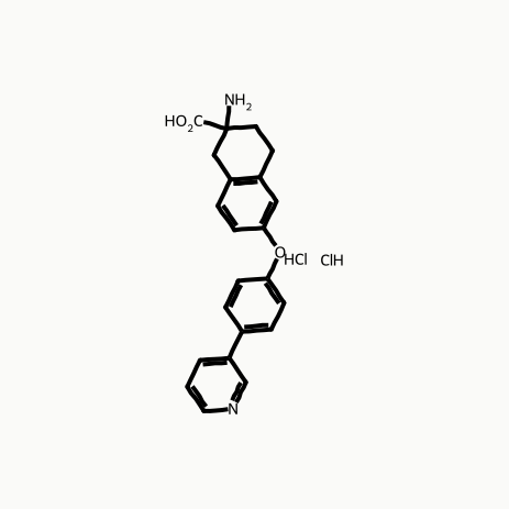 Cl.Cl.NC1(C(=O)O)CCc2cc(Oc3ccc(-c4cccnc4)cc3)ccc2C1